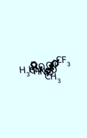 Cc1ccccc1NC(=O)Nc1cc(S(=O)(=O)N2CCC(C(F)(F)F)CC2)oc1C